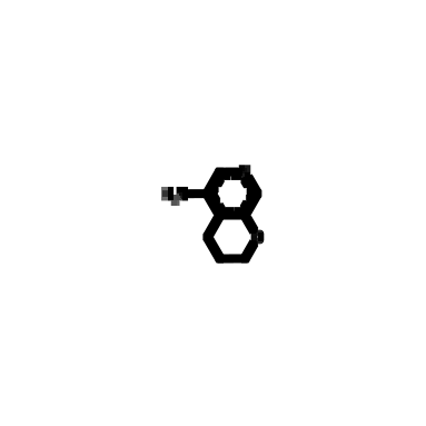 Nc1cncc2c1CCCO2